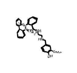 COc1cc(CNCCNC(=O)c2ccccc2N(C=O)N(C(=O)O)c2ccccc2-c2ccccc2)ccc1O